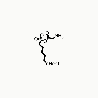 CCCCCCCCCCCCS(=O)(=O)OC(=O)CN